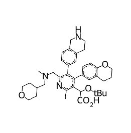 Cc1nc(CN(C)CC2CCOCC2)c(-c2ccc3c(c2)CCNC3)c(-c2ccc3c(c2)CCCO3)c1C(OC(C)(C)C)C(=O)O